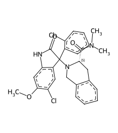 COc1cc2c(cc1Cl)C(c1ccccc1Cl)(N1Cc3ccccc3C[C@H]1C(=O)N(C)C)C(=O)N2